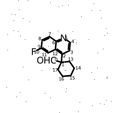 O=CC1(c2ccnc3ccc(F)cc23)CCCCC1